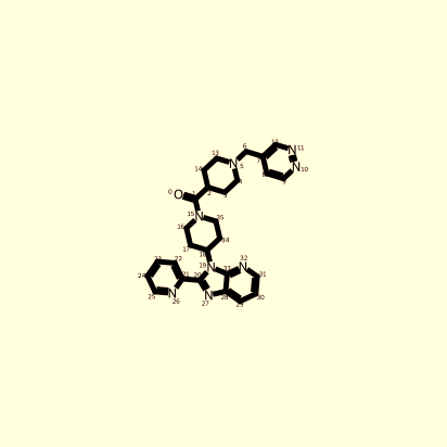 O=C(C1CCN(Cc2ccnnc2)CC1)N1CCC(n2c(-c3ccccn3)nc3cccnc32)CC1